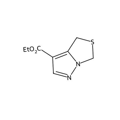 CCOC(=O)c1cnn2c1CSC2